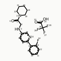 O=C(CNc1ccc(-c2ccccc2F)nc1)N1CCCCC1.O=C(O)C(F)(F)F